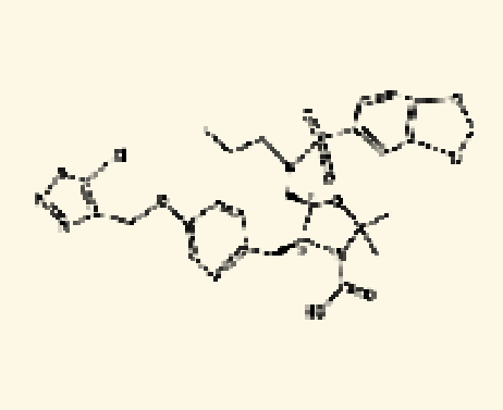 CC(C)CN(C[C@H]1OC(C)(C)N(C(=O)O)[C@H]1Cc1ccc(OCc2nnsc2Cl)cc1)S(=O)(=O)c1ccc2c(c1)OCO2